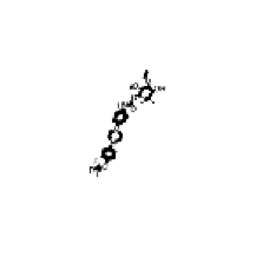 CCO[C@@H]1[C@@H](O)[C@H](C)O[C@@H](OC(=O)Nc2ccc(N3CCN(c4ccc(OC(F)(F)F)cc4)CC3)cc2)[C@@H]1OC